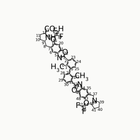 Cc1c(-c2nc3cc(CC4CC[C@@H](C(=O)O)N4)c(OC(F)F)cc3o2)cccc1-c1cccc(-c2nc3cc(CN4CCCC4)c(OC(F)F)cc3o2)c1C